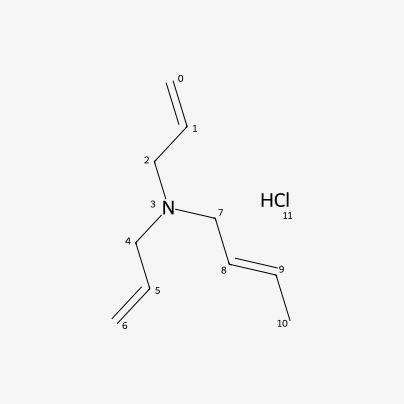 C=CCN(CC=C)CC=CC.Cl